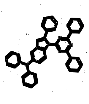 c1ccc(-c2nc(-c3ccccc3)nc(-n3c(-c4ccccc4)cc4cc(N(c5ccccc5)c5ccccc5)ccc43)n2)cc1